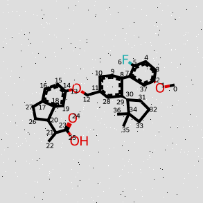 COc1ccc(F)c(-c2ccc(COc3ccc4c(c3)C(C(C)C(=O)O)CC4)cc2[C@H]2CCCC2(C)C)c1